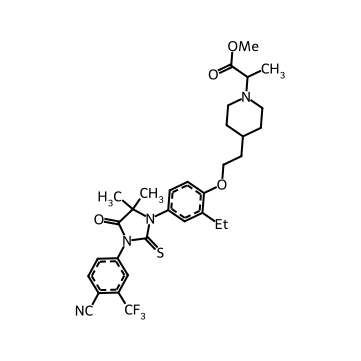 CCc1cc(N2C(=S)N(c3ccc(C#N)c(C(F)(F)F)c3)C(=O)C2(C)C)ccc1OCCC1CCN(C(C)C(=O)OC)CC1